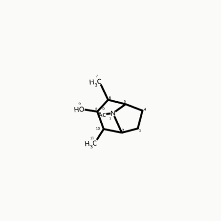 CC(=O)N1C2CCC1C(C)C(O)C2C